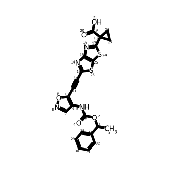 CC(OC(=O)Nc1cnoc1C#Cc1nc2nc(C3(C(=O)O)CC3)sc2s1)c1ccccc1